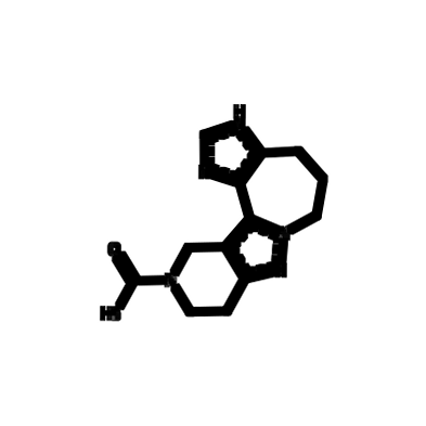 O=C(S)N1CCc2nn3c(c2C1)-c1nc[nH]c1CCC3